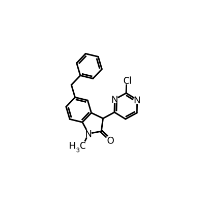 CN1C(=O)C(c2ccnc(Cl)n2)c2cc(Cc3ccccc3)ccc21